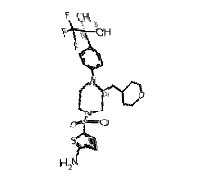 C[C@](O)(c1ccc(N2CCN(S(=O)(=O)c3ccc(N)s3)C[C@@H]2CC2CCOCC2)cc1)C(F)(F)F